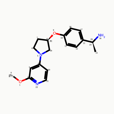 CC(C)Oc1cc(N2CC[C@@H](Oc3ccc([C@H](C)N)cc3)C2)ccn1